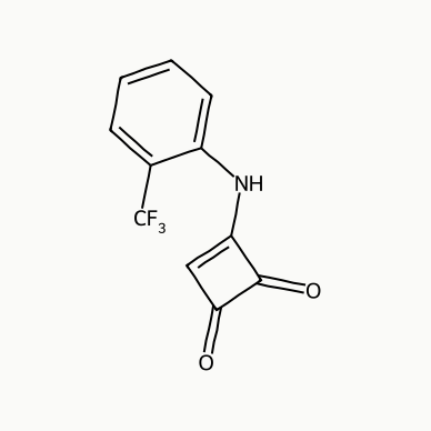 O=c1cc(Nc2ccccc2C(F)(F)F)c1=O